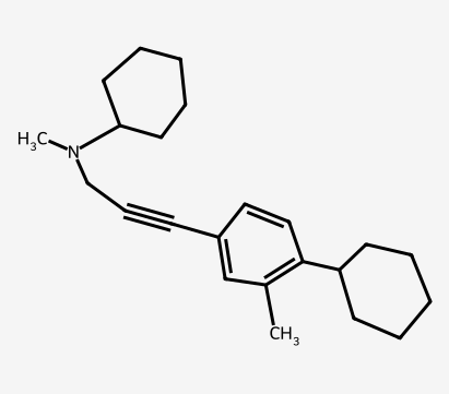 Cc1cc(C#CCN(C)C2CCCCC2)ccc1C1CCCCC1